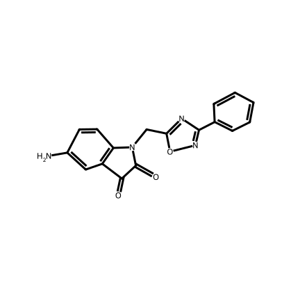 Nc1ccc2c(c1)C(=O)C(=O)N2Cc1nc(-c2ccccc2)no1